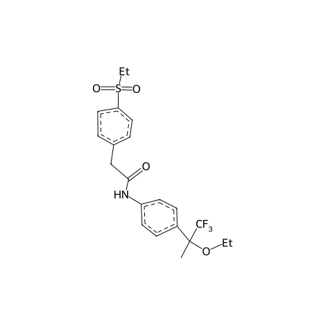 CCOC(C)(c1ccc(NC(=O)Cc2ccc(S(=O)(=O)CC)cc2)cc1)C(F)(F)F